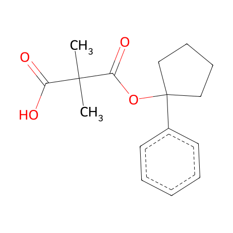 CC(C)(C(=O)O)C(=O)OC1(c2ccccc2)CCCC1